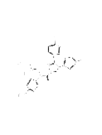 CCOC(=O)N(SN(C(=O)N1N=C(c2ccc(Cl)cc2)C(c2ccc(Cl)cc2)C1C)c1ccc(C(F)(F)F)cc1)C(C)C